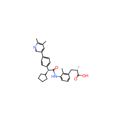 Cc1cc(-c2ccc([C@@H](C(=O)Nc3cccc(C[C@H](C)C(=O)O)c3C)C3CCCC3)cc2)cnc1C